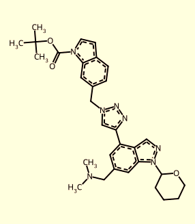 CN(C)Cc1cc(-c2cn(Cc3ccc4ccn(C(=O)OC(C)(C)C)c4c3)nn2)c2cnn(C3CCCCO3)c2c1